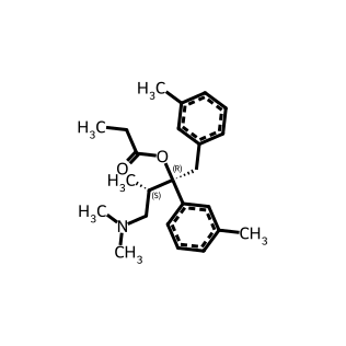 CCC(=O)O[C@@](Cc1cccc(C)c1)(c1cccc(C)c1)[C@@H](C)CN(C)C